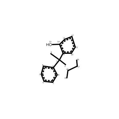 CC(C)(c1ccccc1)c1ccccc1O.CCCC